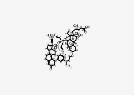 C=CCP(=O)(CC=C)O[C@@H]1C[C@@H]2C[C@@H](OCCN(C)c3ccc([C@@H]4C[C@@]5(C)C(CC[C@]5(O)C#CC)C5CCC6=CC(=O)CCC6=C54)cc3)CC[C@]2(C)[C@H]2C[C@H](O)[C@]3(C)[C@@H]([C@H](C)CCC(=O)O)CC[C@H]3[C@H]12